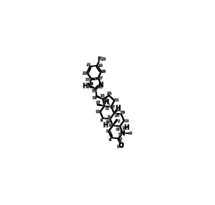 CN1C(=O)C=C[C@]2(C)[C@H]3CC[C@]4(C)[C@@H](Cc5nc6cc(F)ccc6[nH]5)CC[C@H]4[C@@H]3CC[C@@H]12